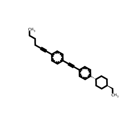 CCCCC#Cc1ccc(C#Cc2ccc([C@H]3CC[C@H](CC)CC3)cc2)cc1